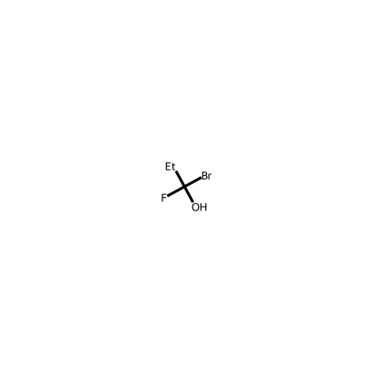 CCC(O)(F)Br